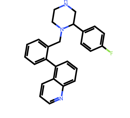 Fc1ccc(C2CNCCN2Cc2ccccc2-c2cccc3ncccc23)cc1